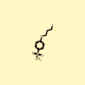 CS(=O)(=O)c1ccc(OCCCI)cc1